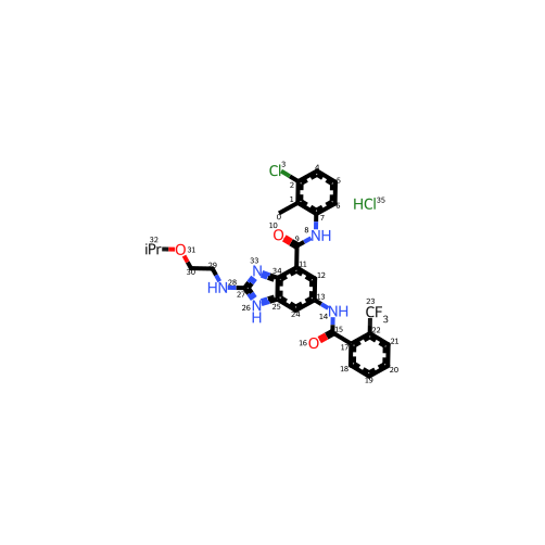 Cc1c(Cl)cccc1NC(=O)c1cc(NC(=O)c2ccccc2C(F)(F)F)cc2[nH]c(NCCOC(C)C)nc12.Cl